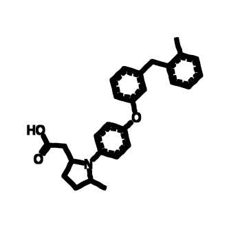 Cc1ccccc1Cc1cccc(Oc2ccc(N3C(C)CCC3CC(=O)O)cc2)c1